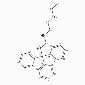 [CH2]COCCNC=[SH]C(c1ccccc1)(c1ccccc1)c1ccccc1